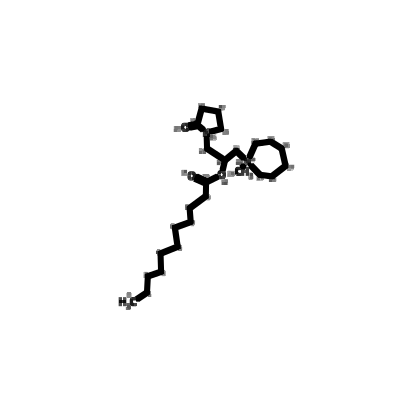 CCCCCCCCCCC(=O)OC(CN1CCCC1=O)C[N+]1(C)CCCCCC1